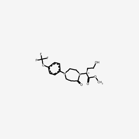 COC(=O)[C@H](CCO)N1CCN(c2ccc(OC(F)(F)F)cc2)CCC1=O